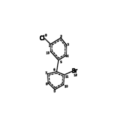 Clc1cc[c]c(-c2ccccc2Br)c1